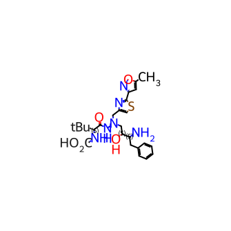 Cc1cc(-c2nc(CN(C[C@H](O)[C@@H](N)Cc3ccccc3)NC(=O)[C@@H](NC(=O)O)C(C)(C)C)cs2)no1